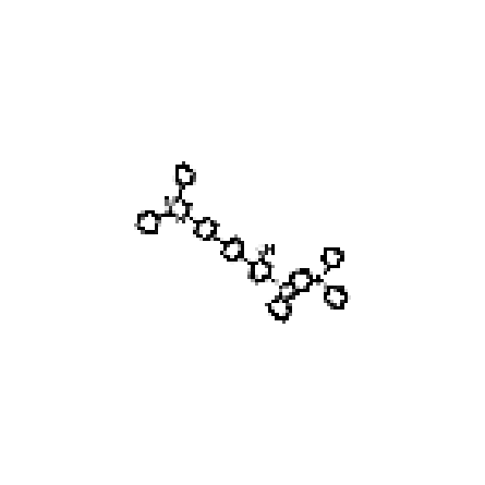 N#Cc1cc(-n2c3ccccc3c3cc(N(c4ccccc4)c4ccccc4)ccc32)ccc1-c1ccc(-c2ccc(-c3cc(-c4ccccc4)nc(-c4ccccc4)n3)cc2)cc1